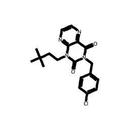 CC(C)(C)CCn1c(=O)n(Cc2ccc(Cl)cc2)c(=O)c2nccnc21